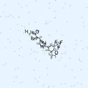 CC1(C)COc2c(C(F)(F)F)cc(-c3ncn(/C=C(\Br)C(N)=O)n3)cc21